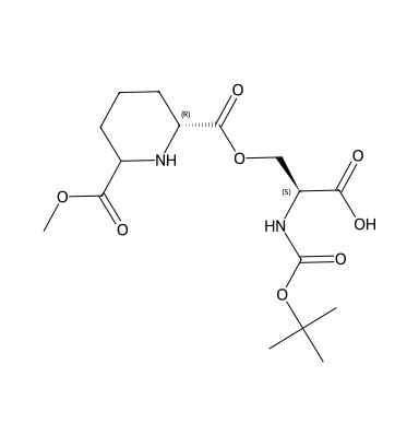 COC(=O)C1CCC[C@H](C(=O)OC[C@H](NC(=O)OC(C)(C)C)C(=O)O)N1